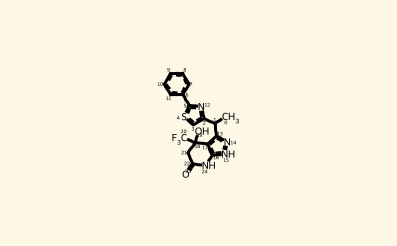 CC(c1csc(-c2ccccc2)n1)c1n[nH]c2c1C(O)(C(F)(F)F)CC(=O)N2